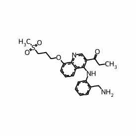 CCC(=O)c1cnc2c(OCCCS(C)(=O)=O)cccc2c1Nc1ccccc1CN